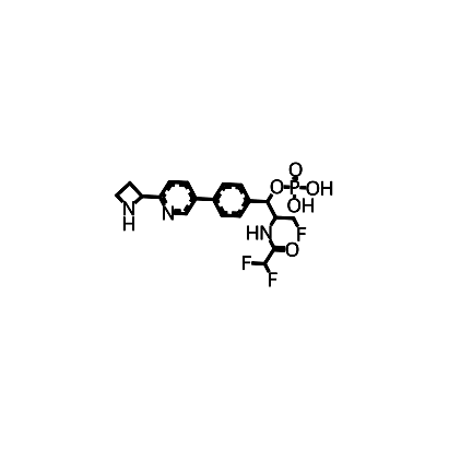 O=C(NC(CF)C(OP(=O)(O)O)c1ccc(-c2ccc(C3CCN3)nc2)cc1)C(F)F